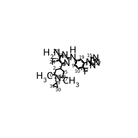 CC1CC(c2nc(Nc3ccc(F)c(-n4cnnn4)c3)nc(N)c2F)CC(C)N1C1CC1